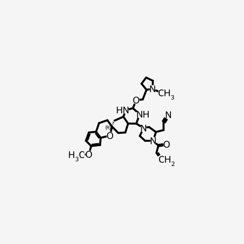 C=CC(=O)N1CCN(C2NC(OCC3CCCN3C)NC3C[C@]4(CCc5ccc(OC)cc5O4)CCC32)CC1CC#N